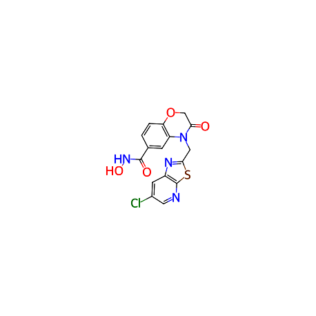 O=C(NO)c1ccc2c(c1)N(Cc1nc3cc(Cl)cnc3s1)C(=O)CO2